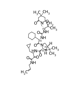 C=CCNC(=O)C(=O)C(CC1CC1)NC(=O)[C@@H]1[C@@H]2[C@H](CN1C(=O)[C@@H](NC(=O)N[C@H](CN1C(=O)CC(C)(C)CC1=O)C(=C)C)C1CCCCC1)C2(C)C